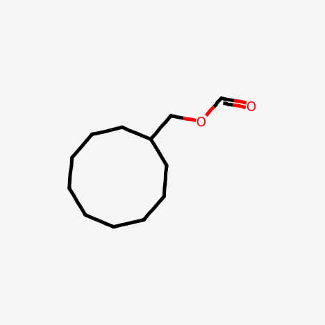 O=COCC1CCCCCCCCC1